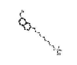 CC(C)(C)[Si](C)(C)OCCCCCCCCCc1ccc2ccc(CBr)cc2c1